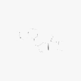 CCN(CC)C(=O)c1cccc(Cc2ccccc2OC(C)=O)c1